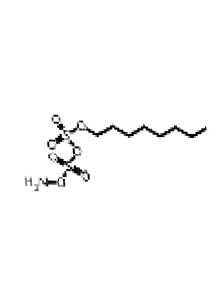 CCCCCCCCOS(=O)(=O)OS(=O)(=O)ON